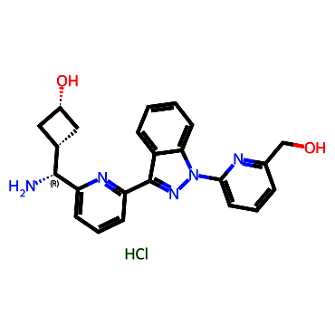 Cl.N[C@@H](c1cccc(-c2nn(-c3cccc(CO)n3)c3ccccc23)n1)[C@H]1C[C@@H](O)C1